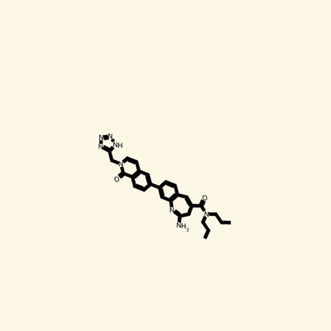 CCCN(CCC)C(=O)C1=Cc2ccc(-c3ccc4c(=O)n(Cc5nnn[nH]5)ccc4c3)cc2N=C(N)C1